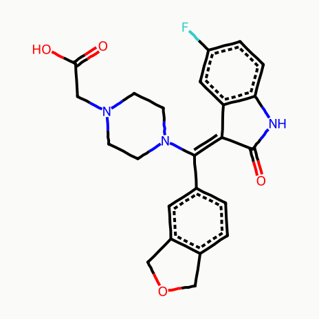 O=C(O)CN1CCN(C(=C2C(=O)Nc3ccc(F)cc32)c2ccc3c(c2)COC3)CC1